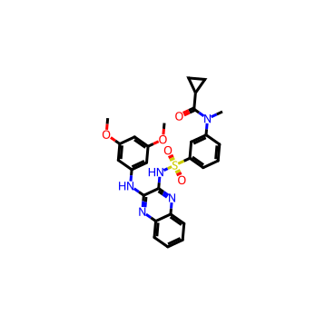 COc1cc(Nc2nc3ccccc3nc2NS(=O)(=O)c2cccc(N(C)C(=O)C3CC3)c2)cc(OC)c1